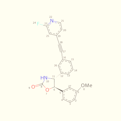 COc1cccc([C@H]2OC(=O)N[C@@H]2c2cccc(C#Cc3ccnc(F)c3)c2)c1